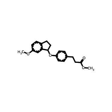 COC(=O)CCc1ccc(OC2CCc3ccc(OC)cc32)cc1